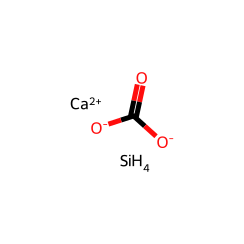 O=C([O-])[O-].[Ca+2].[SiH4]